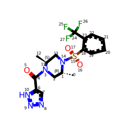 C[C@@H]1CN(C(=O)c2cnn[nH]2)[C@@H](C)CN1S(=O)(=O)c1ccccc1C(F)(F)F